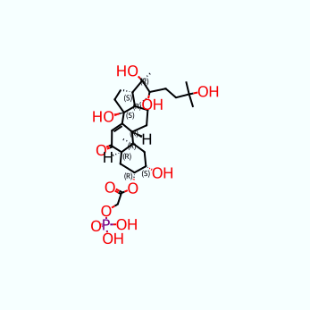 CC(C)(O)CCC(O)[C@](C)(O)[C@H]1CC[C@@]2(O)C3=CC(=O)[C@@H]4C[C@@H](OC(=O)COP(=O)(O)O)[C@@H](O)C[C@]4(C)[C@H]3CC[C@]12C